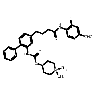 C[N+]1(C)CCC(OC(=O)Nc2cc(CCCC(=O)Nc3ccc(C=O)cc3F)ccc2-c2ccccc2)CC1.[I-]